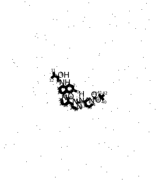 Cc1ccc2c(NC[C@H](O)C(C)C)cccc2c1Oc1ncccc1-c1ccnc(NC2CCCN(C(=O)OC(C)(C)C)C2)n1